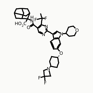 CC(F)(F)c1nc(-c2cn(C3CCOCC3)c3cc(O[C@H]4CC[C@H](N5CC(F)(F)C5)CC4)ccc23)ncc1C(=O)NC1(C(=O)O)C2CC3CC(C2)CC1C3